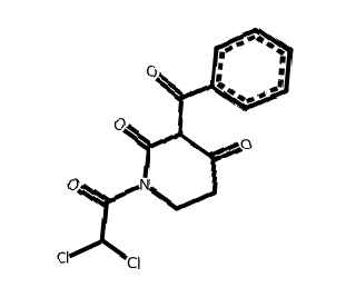 O=C1CCN(C(=O)C(Cl)Cl)C(=O)C1C(=O)c1ccccc1